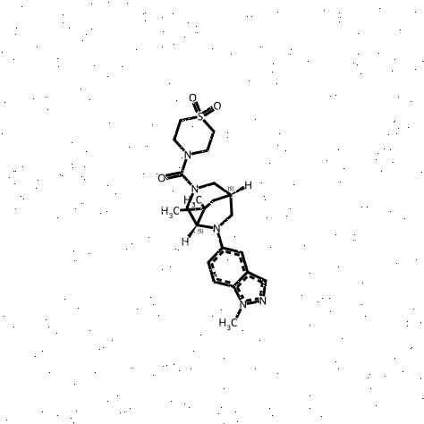 Cn1ncc2cc(N3C[C@H]4CN(C(=O)N5CCS(=O)(=O)CC5)C[C@@H]3C(C)(C)C4)ccc21